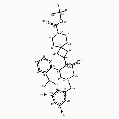 CC(C)c1ccccc1C1CN(Cc2cc(F)cc(F)c2)CC(=O)N1C1CC2(CCN(C(=O)OC(C)(C)C)CC2)C1